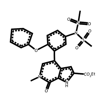 CCOC(=O)c1cc2c(-c3cc(N(S(C)(=O)=O)S(C)(=O)=O)ccc3Oc3ccccc3)cn(C)c(=O)c2[nH]1